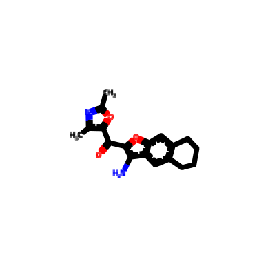 Cc1nc(C)c(C(=O)c2oc3cc4c(cc3c2N)CCCC4)o1